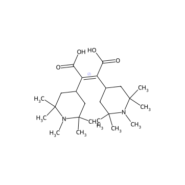 CN1C(C)(C)CC(/C(C(=O)O)=C(/C(=O)O)C2CC(C)(C)N(C)C(C)(C)C2)CC1(C)C